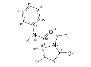 CCN1C(=O)CC(C)[C@@]1(C)C(=O)N(C)c1ccccc1